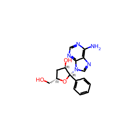 Nc1ncnc2c1ncn2[C@]1(c2ccccc2)O[C@H](CO)C[C@H]1O